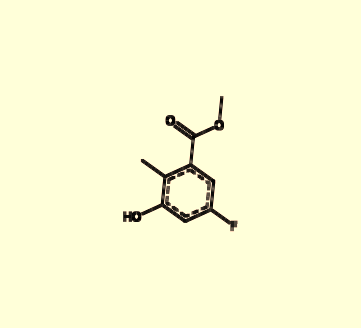 COC(=O)c1cc(F)cc(O)c1C